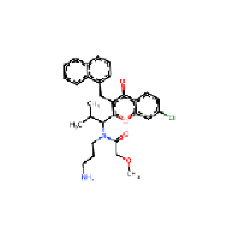 COCC(=O)N(CCCN)C(c1oc2cc(Cl)ccc2c(=O)c1Cc1cccc2ccccc12)C(C)C